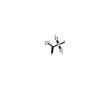 C=C(Cl)S(C)(=O)=O